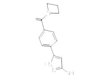 Nc1cc(-c2ccc(C(=O)N3CCC3)cc2)[nH]n1